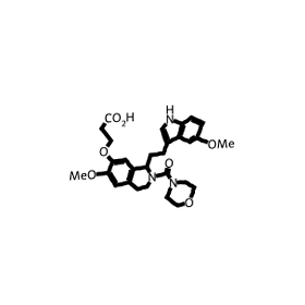 COc1ccc2[nH]cc(CCC3c4cc(OCCC(=O)O)c(OC)cc4CCN3C(=O)N3CCOCC3)c2c1